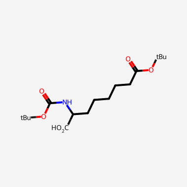 CC(C)(C)OC(=O)CCCCCC(NC(=O)OC(C)(C)C)C(=O)O